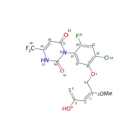 CO/C(=C/C(O)=S)COc1cc(-n2c(=O)cc(C(F)(F)F)[nH]c2=O)c(F)cc1Cl